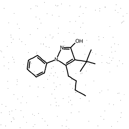 CCCCc1c(C(C)(C)C)c(O)nn1-c1ccccc1